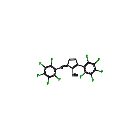 CCCCC1=C(c2c(F)c(F)c(F)c(F)c2F)C=CC1=Bc1c(F)c(F)c(F)c(F)c1F